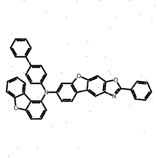 c1ccc(-c2ccc(N(c3ccc4c(c3)oc3cc5oc(-c6ccccc6)nc5cc34)c3cccc4oc5ccccc5c34)cc2)cc1